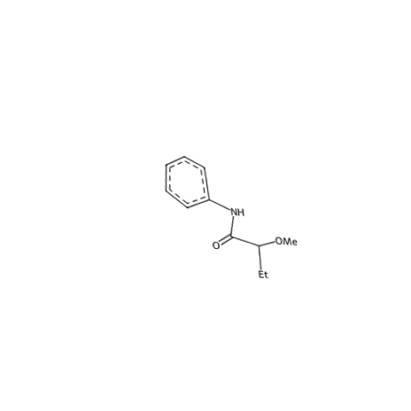 CCC(OC)C(=O)Nc1ccccc1